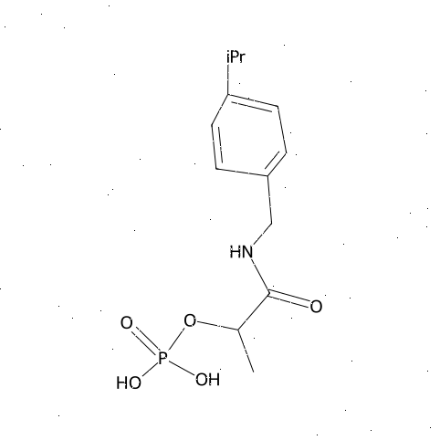 CC(OP(=O)(O)O)C(=O)NCc1ccc(C(C)C)cc1